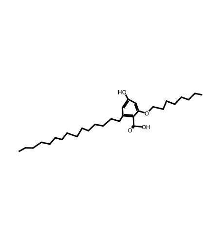 CCCCCCCCCCCCCCCc1cc(O)cc(OCCCCCCCC)c1C(=O)O